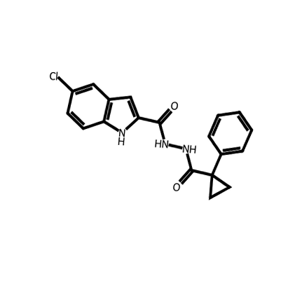 O=C(NNC(=O)C1(c2ccccc2)CC1)c1cc2cc(Cl)ccc2[nH]1